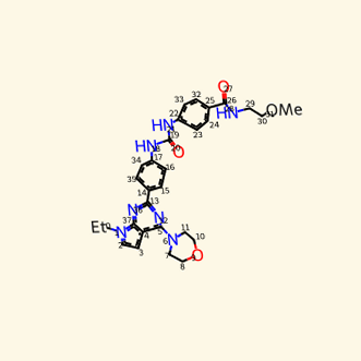 CCn1ccc2c(N3CCOCC3)nc(-c3ccc(NC(=O)Nc4ccc(C(=O)NCCOC)cc4)cc3)nc21